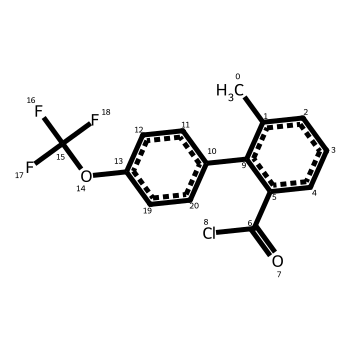 Cc1cccc(C(=O)Cl)c1-c1ccc(OC(F)(F)F)cc1